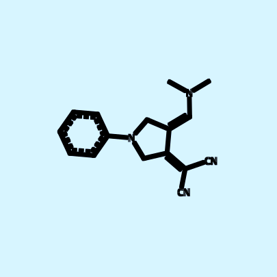 CN(C)C=C1CN(c2ccccc2)CC1=C(C#N)C#N